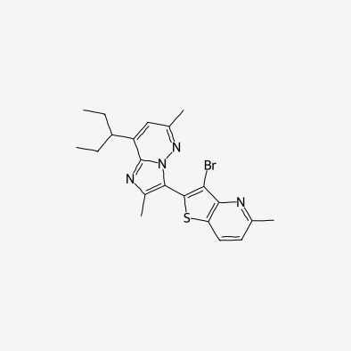 CCC(CC)c1cc(C)nn2c(-c3sc4ccc(C)nc4c3Br)c(C)nc12